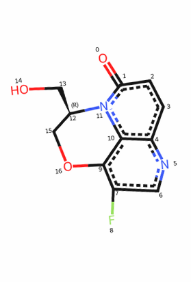 O=c1ccc2ncc(F)c3c2n1[C@H](CO)CO3